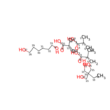 C=C(C)C(=O)O.C=C(C)C(=O)O.C=C(C)C(=O)O.CCC(CO)(CO)CO.OCCCCCCO